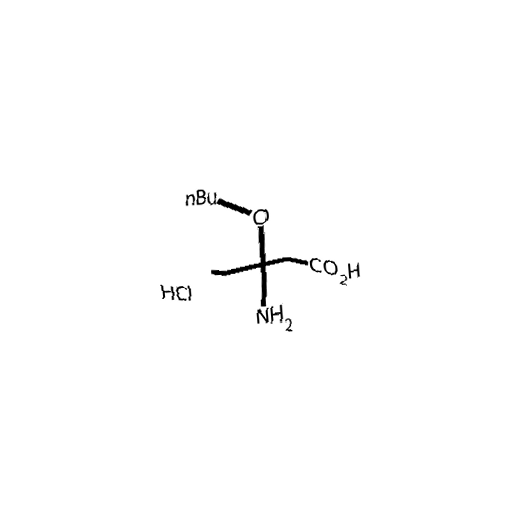 CCCCOC(C)(N)C(=O)O.Cl